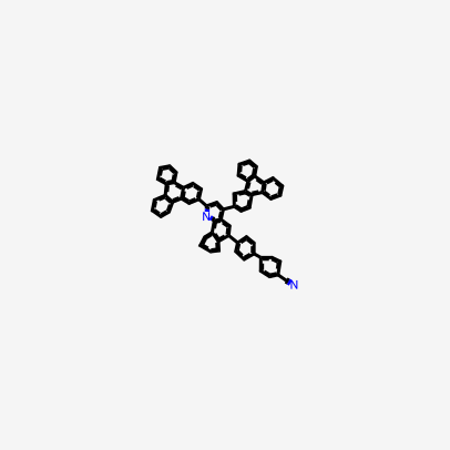 N#Cc1ccc(-c2ccc(-c3cc4c(-c5ccc6c7ccccc7c7ccccc7c6c5)cc(-c5ccc6c7ccccc7c7ccccc7c6c5)nc4c4ccccc34)cc2)cc1